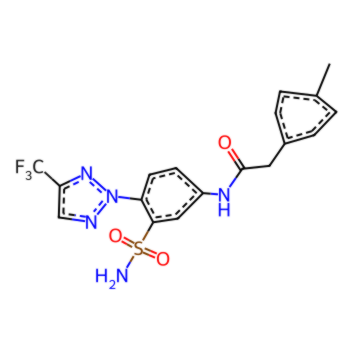 Cc1ccc(CC(=O)Nc2ccc(-n3ncc(C(F)(F)F)n3)c(S(N)(=O)=O)c2)cc1